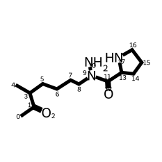 CC(=O)C(C)CCCCN(N)C(=O)C1CCCN1